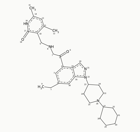 CCc1cc(C(=O)CNCc2c(C)cc(C)[nH]c2=O)c2cnn(C3CCN(C4CCCCC4)CC3)c2c1